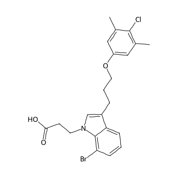 Cc1cc(OCCCc2cn(CCC(=O)O)c3c(Br)cccc23)cc(C)c1Cl